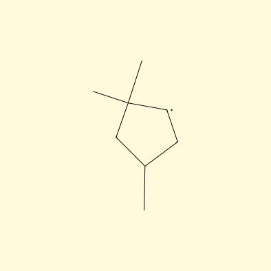 CC1C[CH]C(C)(C)C1